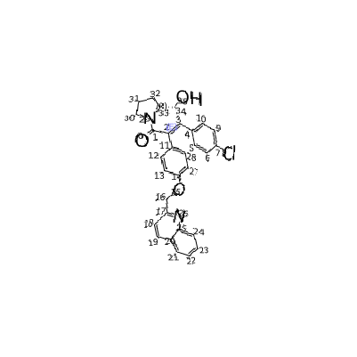 O=C(/C(=C/c1ccc(Cl)cc1)c1ccc(OCc2ccc3ccccc3n2)cc1)N1CCC[C@@H]1CO